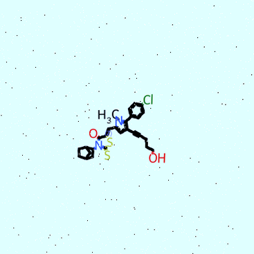 Cn1c(/C=C2\SC(=S)N(C3CC4CCC3C4)C2=O)cc(C#CCCCO)c1-c1ccc(Cl)cc1